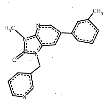 Cc1cccc(-c2cnc3c(c2)n(Cc2cccnc2)c(=O)n3C)c1